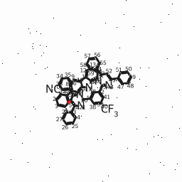 N#Cc1ccccc1-c1ccc2c3ccccc3n(-c3c(-c4nc(-c5ccccc5)cc(-c5ccccc5)n4)cc(C(F)(F)F)cc3-c3nc(-c4ccccc4)cc(-c4ccccc4)n3)c2c1